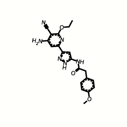 CCOc1nc(-c2cc(NC(=O)Cc3ccc(OC)cc3)[nH]n2)cc(N)c1C#N